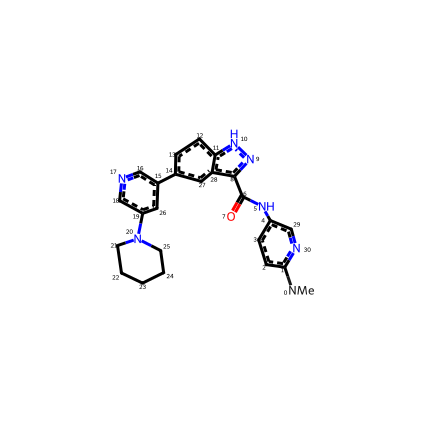 CNc1ccc(NC(=O)c2n[nH]c3ccc(-c4cncc(N5CCCCC5)c4)cc23)cn1